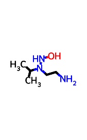 CC(C)N(CCN)NO